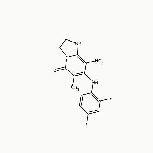 Cc1c(Nc2ccc(I)cc2F)c([N+](=O)[O-])c2n(c1=O)CCN2